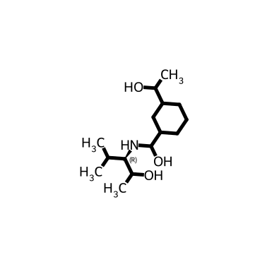 CC(O)C1CCCC(C(O)N[C@H](C(C)C)C(C)O)C1